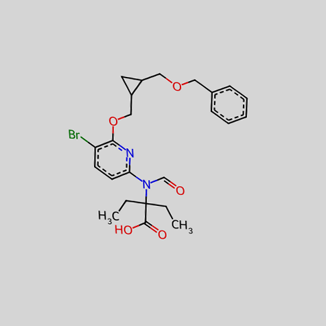 CCC(CC)(C(=O)O)N(C=O)c1ccc(Br)c(OCC2CC2COCc2ccccc2)n1